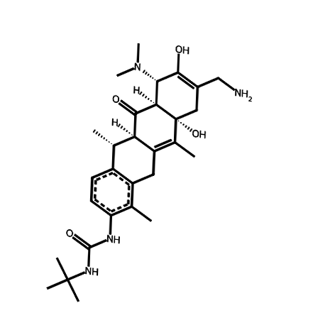 CC1=C2Cc3c(ccc(NC(=O)NC(C)(C)C)c3C)[C@H](C)[C@H]2C(=O)[C@H]2[C@H](N(C)C)C(O)=C(CN)C[C@@]12O